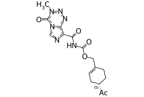 CC(=O)[C@@H]1CC=C(COC(=O)NC(=O)c2ncn3c(=O)n(C)nnc23)CC1